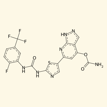 NC(=O)Oc1cc(-c2cnc(NC(=O)Nc3cc(C(F)(F)F)ccc3F)s2)nc2[nH]ncc12